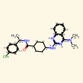 C[C@@H](NC(=O)C1CCC(Nc2nc(N(C)C)c3ccccc3n2)CC1)c1ccc(Cl)cc1